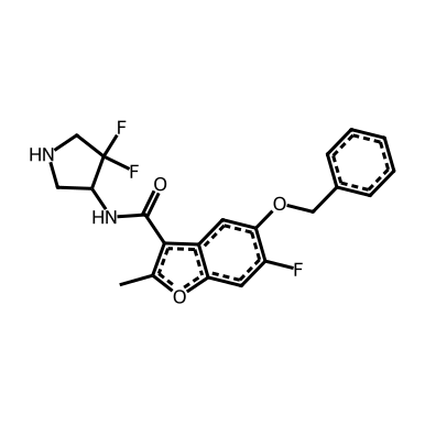 Cc1oc2cc(F)c(OCc3ccccc3)cc2c1C(=O)NC1CNCC1(F)F